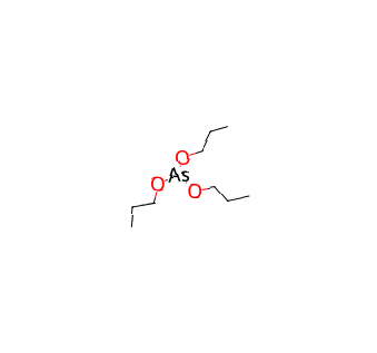 CCCO[As](OCCC)OCCC